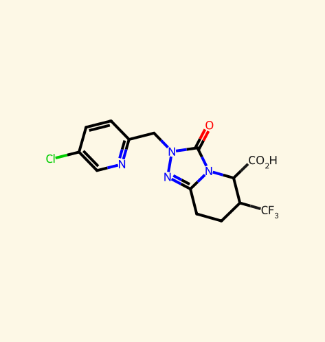 O=C(O)C1C(C(F)(F)F)CCc2nn(Cc3ccc(Cl)cn3)c(=O)n21